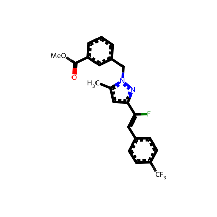 COC(=O)c1cccc(Cn2nc(C(F)=Cc3ccc(C(F)(F)F)cc3)cc2C)c1